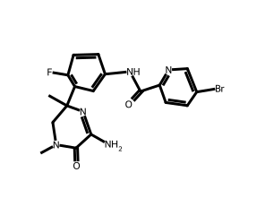 CN1CC(C)(c2cc(NC(=O)c3ccc(Br)cn3)ccc2F)N=C(N)C1=O